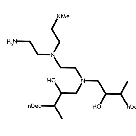 CCCCCCCCCCC(C)C(O)CN(CCN(CCN)CCNC)CC(O)C(C)CCCCCCCCCC